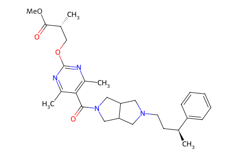 COC(=O)[C@H](C)COc1nc(C)c(C(=O)N2CC3CN(CC[C@H](C)c4ccccc4)CC3C2)c(C)n1